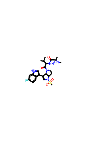 CNC(C)C(=O)NC(C(=O)N1CCC2C1C(c1c[nH]c3cc(F)ccc13)=CN2S(C)(=O)=O)C(C)C